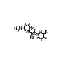 Nc1ccn2nc(-c3cccc(F)c3)c(Br)c2n1